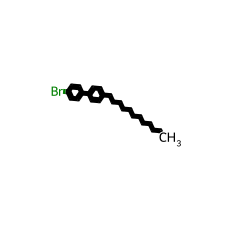 CCCCCCCCCCCCc1ccc(-c2ccc(Br)cc2)cc1